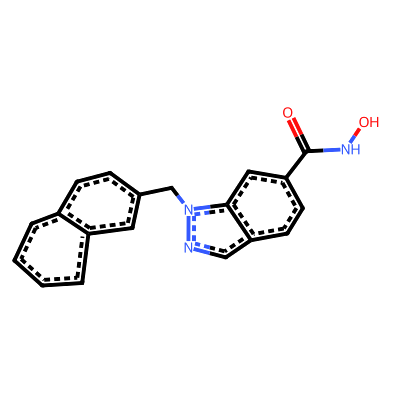 O=C(NO)c1ccc2cnn(Cc3ccc4ccccc4c3)c2c1